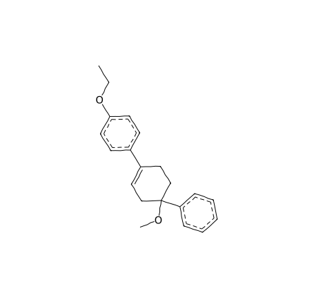 CCOc1ccc(C2=CCC(OC)(c3ccccc3)CC2)cc1